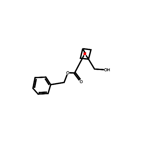 O=C(OCc1ccccc1)N1CC2CC1(CO)C2